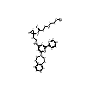 CCOCCOCCC(=O)OC1(CCNc2cc(N3CCc4ccccc4CC3)nc(-c3ccccn3)n2)CC1